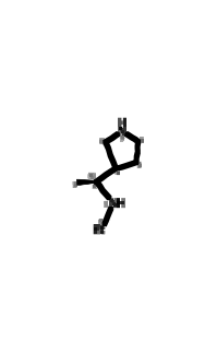 CCN[C@@H](C)C1CCNC1